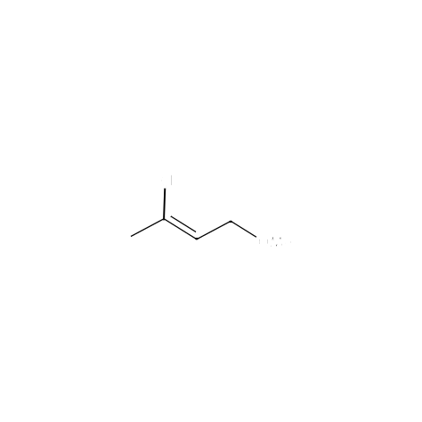 COC/C=C(/C)Cl